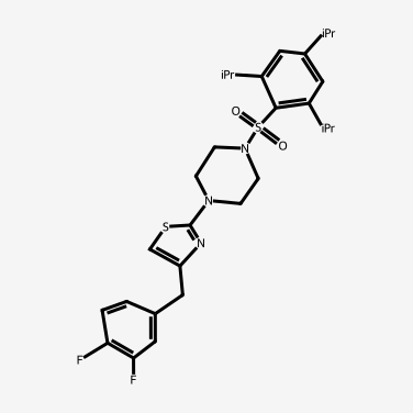 CC(C)c1cc(C(C)C)c(S(=O)(=O)N2CCN(c3nc(Cc4ccc(F)c(F)c4)cs3)CC2)c(C(C)C)c1